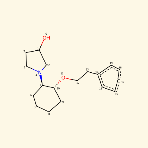 OC1CCN([C@@H]2CCCC[C@H]2OCCc2ccccc2)C1